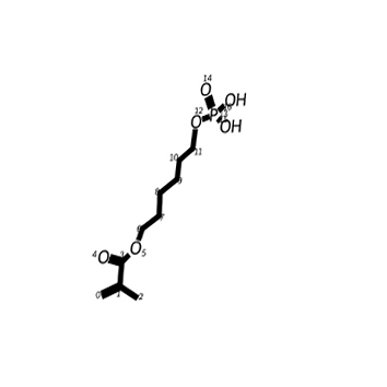 C=C(C)C(=O)OCCCCCCOP(=O)(O)O